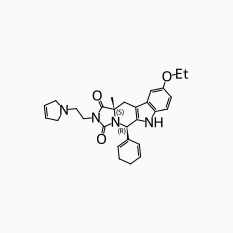 CCOc1ccc2[nH]c3c(c2c1)C[C@@]1(C)C(=O)N(CCN2CC=CC2)C(=O)N1[C@@H]3C1=CCCC=C1